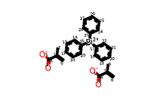 C=C(C)C(=O)[O-].C=C(C)C(=O)[O-].c1cc[c]([Bi+2]([c]2ccccc2)[c]2ccccc2)cc1